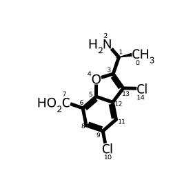 C[C@H](N)c1oc2c(C(=O)O)cc(Cl)cc2c1Cl